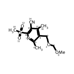 COCOCc1c(C)nc(S(C)(=O)=O)c(C#N)c1C